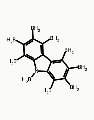 Bc1c(B)c(B)c2c(c1B)c1c(B)c(B)c(B)c(B)c1n2B